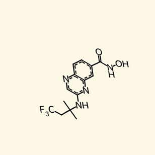 CC(C)(CC(F)(F)F)Nc1cnc2ccc(C(=O)NO)cc2n1